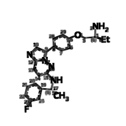 CC[C@H](N)COc1ccc(-c2cnc3ccc(N[C@H](C)c4cccc(F)c4)nn23)cc1